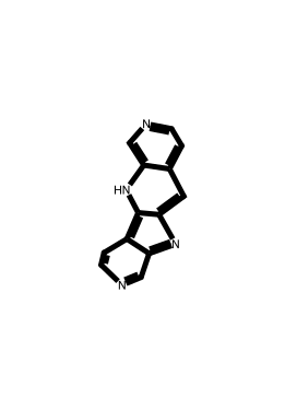 c1cc2c3[nH]c4cnccc4cc-3nc2cn1